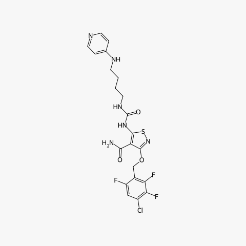 NC(=O)c1c(OCc2c(F)cc(Cl)c(F)c2F)nsc1NC(=O)NCCCCNc1ccncc1